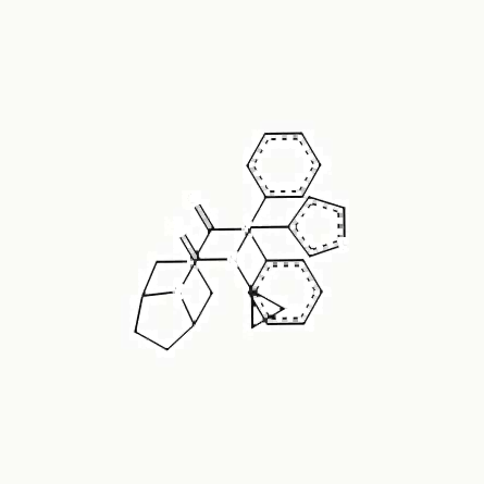 O=C(N1CC2CCC(C1)N2C(=O)N(Cc1ccsc1)C1CC1)N(c1ccccc1)c1ccccc1